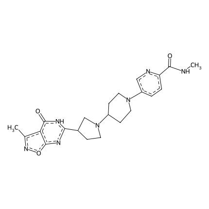 CNC(=O)c1ccc(N2CCC(N3CCC(c4nc5onc(C)c5c(=O)[nH]4)C3)CC2)cn1